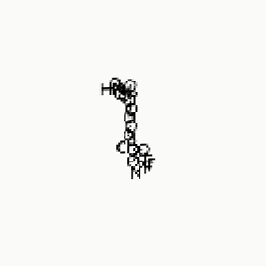 CCOc1cc2oc(-c3ccc(OCCOCCOCCOCCOc4cccc5c4C(=O)N(C4CCC(=O)NC4=O)C5=O)cc3Cl)cc(=O)c2cc1-c1cc(C#N)cc(C(F)(F)F)c1